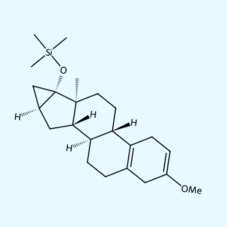 COC1=CCC2=C(CC[C@@H]3[C@@H]2CC[C@@]2(C)[C@H]3C[C@H]3C[C@]32O[Si](C)(C)C)C1